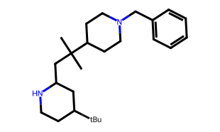 CC(C)(C)C1CCNC(CC(C)(C)C2CCN(Cc3ccccc3)CC2)C1